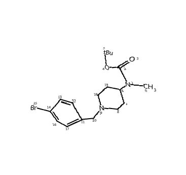 CN(C(=O)OC(C)(C)C)C1CCN(Cc2ccc(Br)cc2)CC1